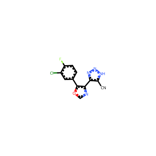 N#Cc1[nH]nnc1-c1ncoc1-c1ccc(F)c(Cl)c1